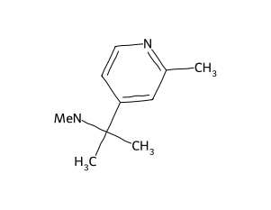 CNC(C)(C)c1ccnc(C)c1